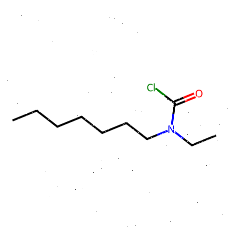 CCCCCCCN(CC)C(=O)Cl